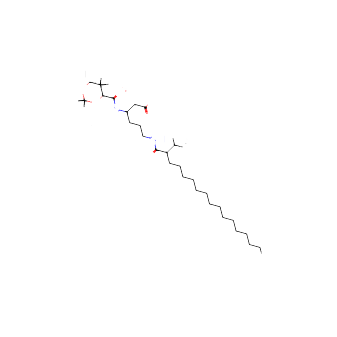 CCCCCCCCCCCCCCCC(C(=O)NCCCC(CC(=O)O)NC(=O)C1OC(C)(C)OCC1(C)C)C(C)C